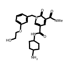 CNC(=O)c1cc(C(=O)NC2CCC(N)CC2)cn(Cc2cccc(OCCO)c2)c1=O